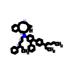 C=CC/C=C(\C=C)c1ccc(-c2ccc(N(/C=C/C=C(\C=C)C3=CCCC=C3)/C3=C/C4=C(C=CCC4)C/C=C\C4=C[C@H]4C3)cc2C2C=CC=CC2)cc1